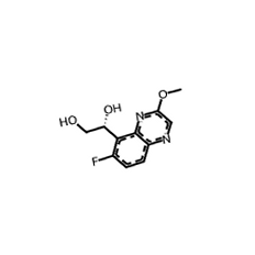 COc1cnc2ccc(F)c([C@@H](O)CO)c2n1